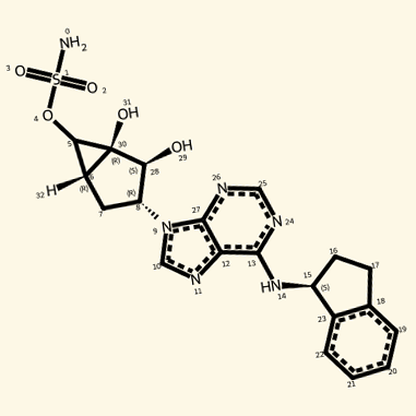 NS(=O)(=O)OC1[C@H]2C[C@@H](n3cnc4c(N[C@H]5CCc6ccccc65)ncnc43)[C@H](O)[C@@]12O